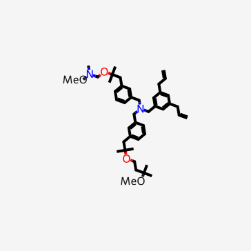 C=CCc1cc(CC=C)cc(CN(Cc2cccc(CC(C)(C)OCCC(C)(C)OC)c2)Cc2cccc(CC(C)(C)OCN(C)OC)c2)c1